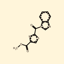 COC(=O)c1csc(C(=O)n2cnc3ccccc32)n1